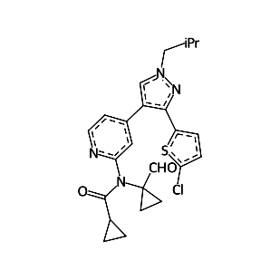 CC(C)Cn1cc(-c2ccnc(N(C(=O)C3CC3)C3(C=O)CC3)c2)c(-c2ccc(Cl)s2)n1